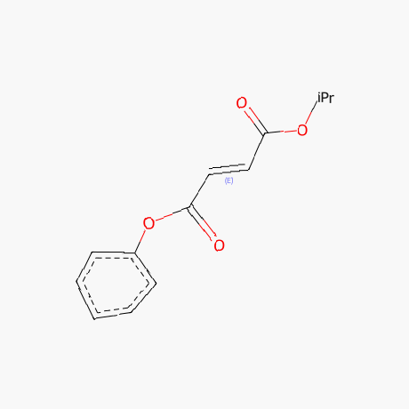 CC(C)OC(=O)/C=C/C(=O)Oc1ccccc1